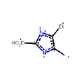 CCc1[nH]c(C(=O)O)nc1I